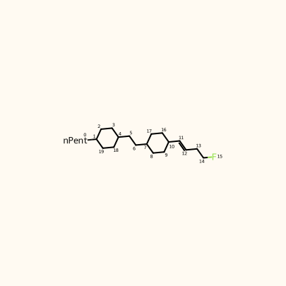 CCCCCC1CCC(CCC2CCC(C=CCCF)CC2)CC1